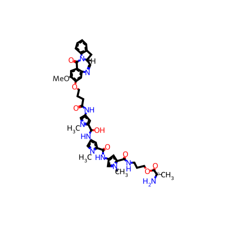 COc1cc2c(cc1OCCCC(=O)Nc1cc(C(O)Nc3cc(C(=O)Nc4cc(C(=O)NCCCOC(=O)[C@H](C)N)n(C)c4)n(C)c3)n(C)c1)N=C[C@H]1Cc3ccccc3N1C2=O